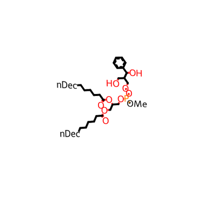 CCCCCCCCCCCCCCCC(=O)OCC(COP(OC)OOCC(CO)C(O)c1ccccc1)OC(=O)CCCCCCCCCCCCCCC